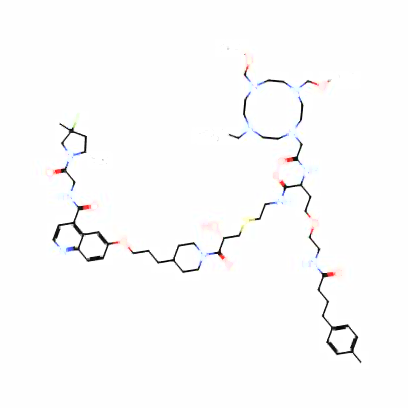 Cc1ccc(CCCC(=O)NCCOCCC(NC(=O)CN2CCN(COC=O)CCN(COC=O)CCN(CC(=O)O)CC2)C(=O)NCCSC[C@@H](O)C(=O)N2CCC(CCCOc3ccc4nccc(C(=O)NCC(=O)N5CC(C)(F)C[C@@H]5C#N)c4c3)CC2)cc1